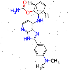 CN(C)c1ccc(-c2nc3c(N[C@H]4[C@@H](OC(N)=O)[C@@H]5C=C[C@H]4C5)ccnc3[nH]2)cc1